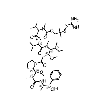 CC[C@H](C)[C@@H]([C@@H](CC(=O)N1CCC[C@H]1[C@H](OC)[C@@H](C)C(=O)N[C@H](C)[C@@H](O)c1ccccc1)OC)N(C)C(=O)[C@@H](NC(=O)C(C(C)C)N(C)C(=O)OCC(C)(C)SSC(=N)N)C(C)C